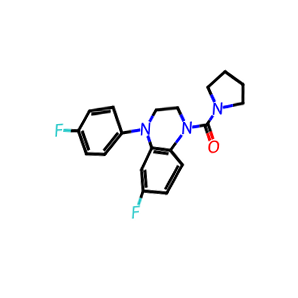 O=C(N1CCCC1)N1CCN(c2ccc(F)cc2)c2cc(F)ccc21